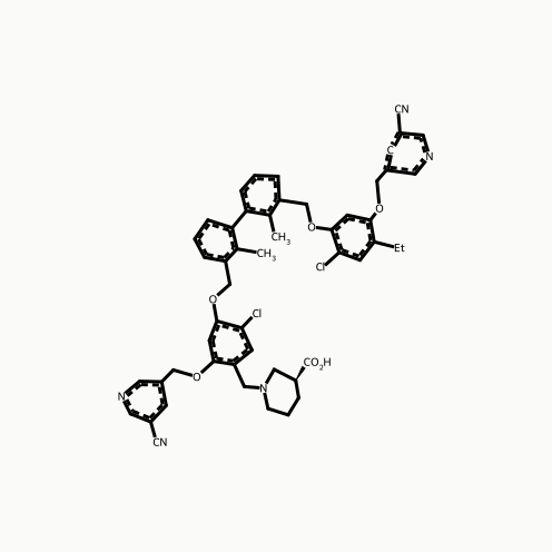 CCc1cc(Cl)c(OCc2cccc(-c3cccc(COc4cc(OCc5cncc(C#N)c5)c(CN5CCC[C@H](C(=O)O)C5)cc4Cl)c3C)c2C)cc1OCc1cncc(C#N)c1